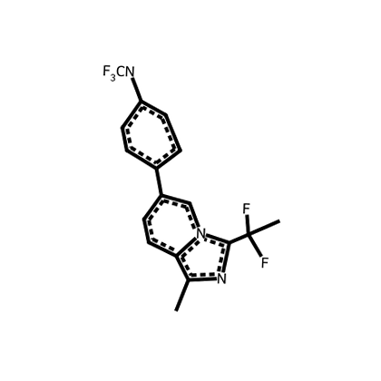 Cc1nc(C(C)(F)F)n2cc(-c3ccc(NC(F)(F)F)cc3)ccc12